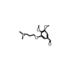 COc1cc(C=O)cc(OCCCN(C)C)c1OC